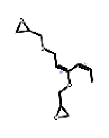 C/C=C\C(=C/COCC1CO1)OCC1CO1